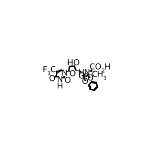 C[C@H](NP(=O)(OC[C@H]1O[C@@H](n2cc(C(F)(F)F)c(=O)[nH]c2=O)C[C@@H]1O)Oc1ccccc1)C(=O)O